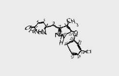 Cc1c(Cc2ccc(=O)[nH]n2)n[nH]c1Oc1cccc(Cl)c1